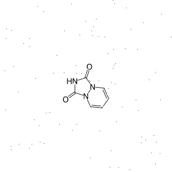 O=c1[nH]c(=O)n2ccccn12